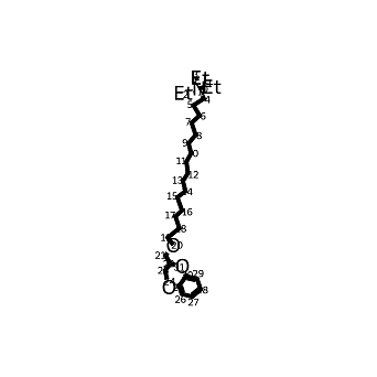 CC[N+](CC)(CC)CCCCCCCCCCCCCCCCOCC1COc2ccccc2O1